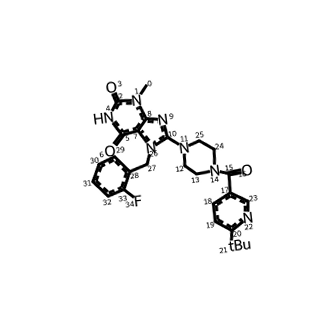 Cn1c(=O)[nH]c(=O)c2c1nc(N1CCN(C(=O)c3ccc(C(C)(C)C)nc3)CC1)n2Cc1ccccc1F